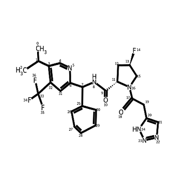 CC(C)c1cnc(C(NC(=O)[C@@H]2C[C@@H](F)CN2C(=O)Cc2cnn[nH]2)c2ccccc2)cc1C(F)(F)F